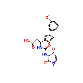 COc1cccc(-c2csc(C(CC(=O)O)NC(=O)NC3C(=O)C=CN(C)C3=O)c2)c1